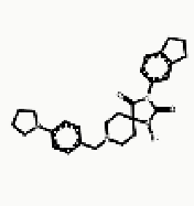 CCN1C(=O)N(c2ccc3c(c2)CCC3)C(=O)C12CCN(Cc1ccc(N3CCCC3)cc1)CC2